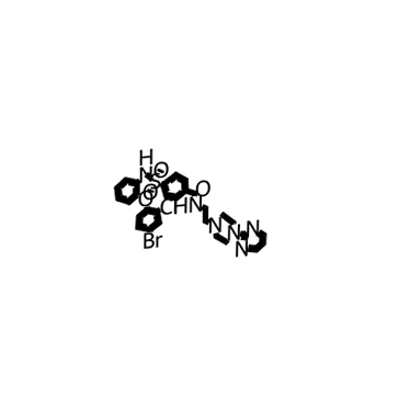 O=C(NCCN1CCN(c2ncccn2)CC1)c1ccc(S(=O)(=O)Nc2ccccc2Oc2ccc(Br)cc2Cl)cc1